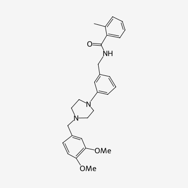 COc1ccc(CN2CCN(c3cccc(CNC(=O)c4ccccc4C)c3)CC2)cc1OC